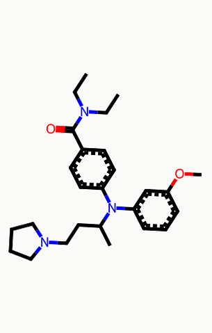 CCN(CC)C(=O)c1ccc(N(c2cccc(OC)c2)C(C)CCN2CCCC2)cc1